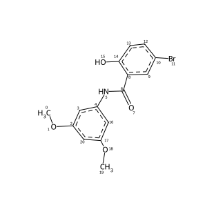 COc1cc(NC(=O)c2cc(Br)ccc2O)cc(OC)c1